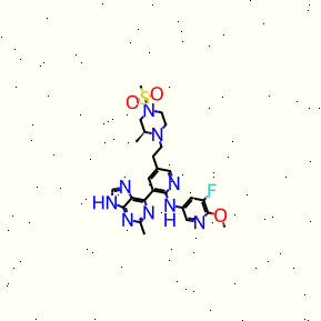 COc1ncc(Nc2ncc(CCN3CCN(S(C)(=O)=O)C[C@@H]3C)cc2-c2nc(C)nc3[nH]cnc23)cc1F